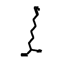 C=CCCCCCC(C=O)CCC